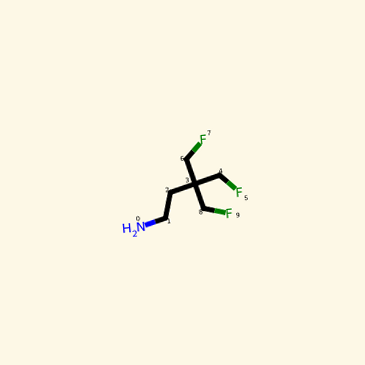 NCCC(CF)(CF)CF